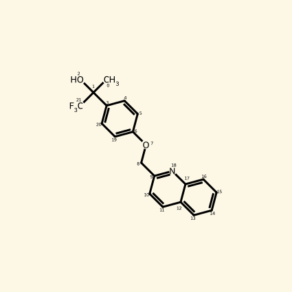 CC(O)(c1ccc(OCc2ccc3ccccc3n2)cc1)C(F)(F)F